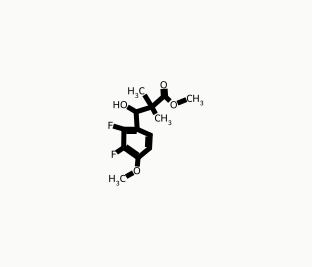 COC(=O)C(C)(C)C(O)c1ccc(OC)c(F)c1F